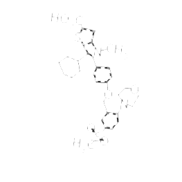 Cn1c(-c2ccc(OCc3cc(S(C)(=O)=O)ccc3N3CCOCC3)cc2)c(C2CCCCC2)c2sc(C(=O)O)cc21